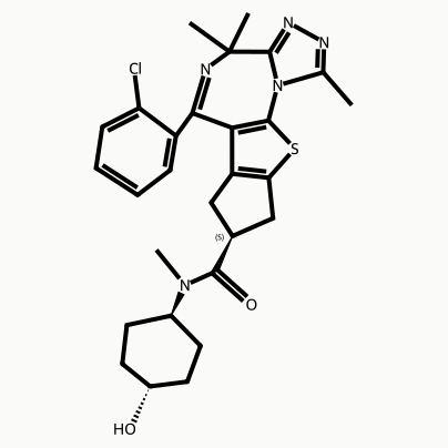 Cc1nnc2n1-c1sc3c(c1C(c1ccccc1Cl)=NC2(C)C)C[C@H](C(=O)N(C)[C@H]1CC[C@H](O)CC1)C3